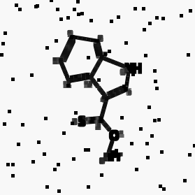 CCCOC(=S)c1c[nH]c2ccccc12